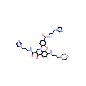 O=C(NCCCn1ccnc1)c1ccc2c(c1)Oc1c(NCCCN3CCOCC3)c(F)cc3c(=O)c(C(=O)NCCCn4ccnc4)cn-2c13